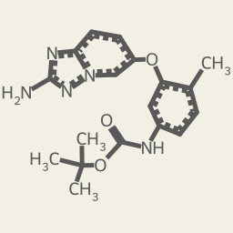 Cc1ccc(NC(=O)OC(C)(C)C)cc1Oc1ccc2nc(N)nn2c1